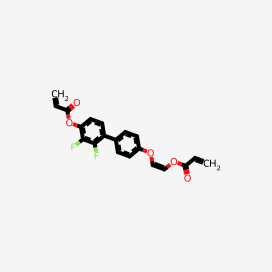 C=CC(=O)O/C=C\Oc1ccc(-c2ccc(OC(=O)C=C)c(F)c2F)cc1